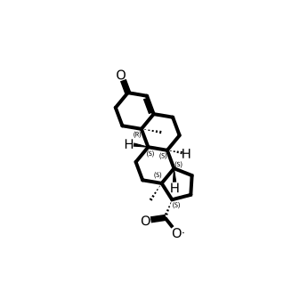 C[C@]12CC[C@H]3[C@@H](CCC4=CC(=O)CC[C@@]43C)[C@@H]1CC[C@@H]2C([O])=O